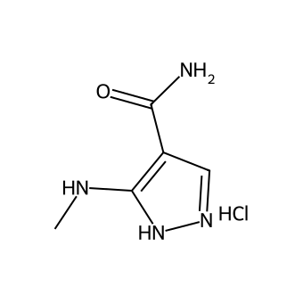 CNc1[nH]ncc1C(N)=O.Cl